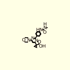 CNC(=O)Nc1ccc(-c2nc(N3CCOCC3)cc(C3(C(=O)O)CC3)n2)cc1